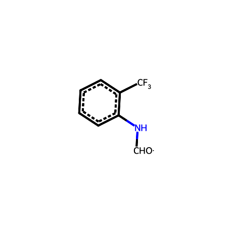 O=[C]Nc1ccccc1C(F)(F)F